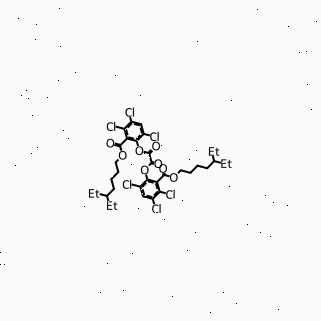 CCC(CC)CCCCOC(=O)c1c(Cl)c(Cl)cc(Cl)c1OC(=O)C(=O)Oc1c(Cl)cc(Cl)c(Cl)c1C(=O)OCCCCC(CC)CC